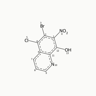 O=[N+]([O-])c1c(Br)c(Cl)c2cccnc2c1O